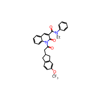 CCN(C(=O)c1cc2ccccc2n(C(=O)CC2Cc3ccc(OC(F)(F)F)cc3C2)c1=O)c1ccccc1